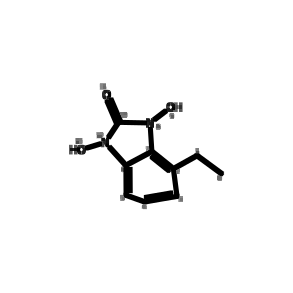 CCc1cccc2c1n(O)c(=O)n2O